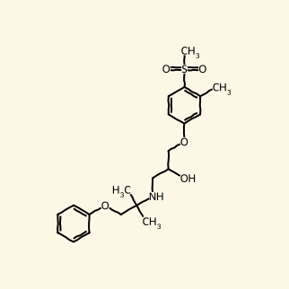 Cc1cc(OCC(O)CNC(C)(C)COc2ccccc2)ccc1S(C)(=O)=O